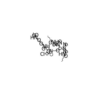 CCCCCC(=O)Nc1cccc(CN(Cc2cc(CN(Cc3ccccn3)Cc3cccc(NC(=O)CCCCC)n3)cc(OCCCCN(Cc3ccc(C(=O)NCCOCCOCCNC(=O)OC(C)(C)C)cc3)C(=O)C3(c4ccc(Cl)cc4)CCCCC3)c2)Cc2ccccn2)n1